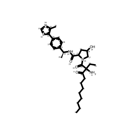 CCCCCCCCC(=O)C(N)(CC)C(=O)N1CC(O)CC1C(=O)N[C@@H](C)c1ccc(-c2scnc2C)cc1